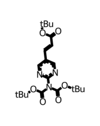 CC(C)(C)OC(=O)C=Cc1cnc(N(C(=O)OC(C)(C)C)C(=O)OC(C)(C)C)nc1